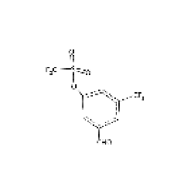 O=Cc1cc(OS(=O)(=O)C(F)(F)F)cc(C(F)(F)F)c1